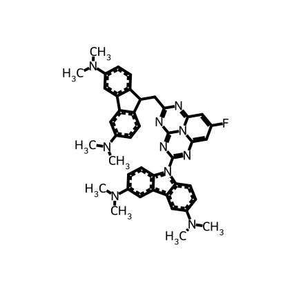 CN(C)c1ccc2c(c1)-c1cc(N(C)C)ccc1C2CC1=NC2=NC(n3c4ccc(N(C)C)cc4c4cc(N(C)C)ccc43)=NC3=CC(F)=CC(=N1)N32